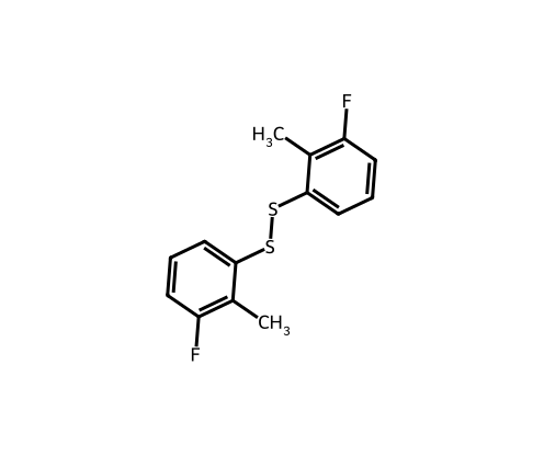 Cc1c(F)cccc1SSc1cccc(F)c1C